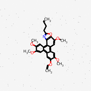 C=CCCc1nc2c(o1)c(OC)cc1c3cc(OC)c(OC=C)cc3c3cc(OC)c(OC)cc3c12